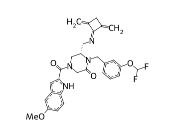 C=C1CC(=C)C1=NC[C@H]1CN(C(=O)c2cc3cc(OC)ccc3[nH]2)CC(=O)N1Cc1cccc(OC(F)F)c1